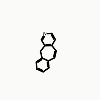 C1=Cc2ccncc2Cc2ccccc21